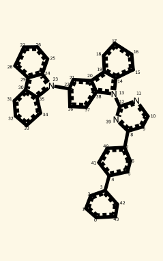 c1ccc(-c2ccc(-c3ccnc(-n4c5ccccc5c5cc(-n6c7ccccc7c7ccccc76)ccc54)n3)cc2)cc1